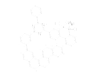 CC1(C)c2ccccc2-c2ccc(-c3nc(-c4ccccc4)nc(-c4cccc(-c5ccc6ccc7ccc8c9ccccc9ccc8c7c6c5)c4)n3)cc2C1(C)C